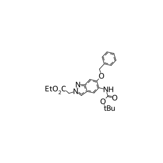 CCOC(=O)Cn1cc2cc(NC(=O)OC(C)(C)C)c(OCc3ccccc3)cc2n1